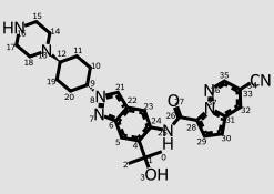 CC(C)(O)c1cc2nn([C@H]3CC[C@H](N4CCNCC4)CC3)cc2cc1NC(=O)c1ccc2cc(C#N)cnn12